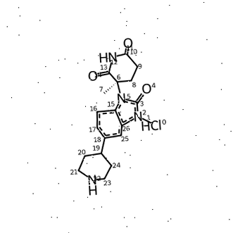 Cl.Cn1c(=O)n([C@]2(C)CCC(=O)NC2=O)c2ccc(C3CCNCC3)cc21